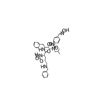 CC(C)CN(C[C@@H](O)[C@H](Cc1ccccc1)NC(=O)C(CCCNCc1ccccc1)NC(=O)O)S(=O)(=O)c1ccc(C=NO)cc1